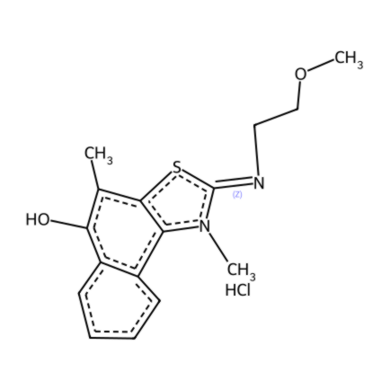 COCC/N=c1\sc2c(C)c(O)c3ccccc3c2n1C.Cl